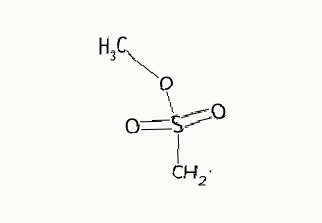 [CH2]S(=O)(=O)OC